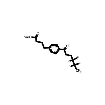 COC(=O)CCCc1ccc(C(=O)CCC(F)(F)C(F)(F)C(F)(F)F)cc1